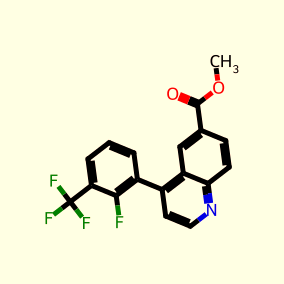 COC(=O)c1ccc2nccc(-c3cccc(C(F)(F)F)c3F)c2c1